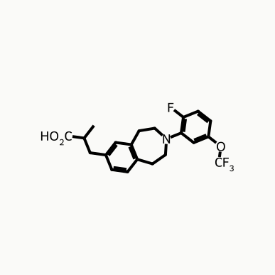 CC(Cc1ccc2c(c1)CCN(c1cc(OC(F)(F)F)ccc1F)CC2)C(=O)O